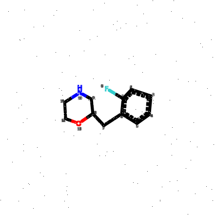 Fc1ccccc1CC1CNCCO1